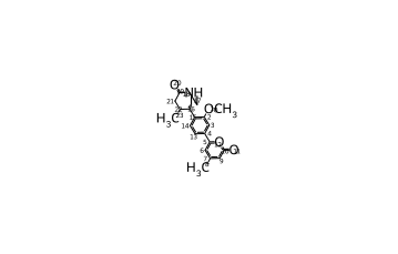 COc1cc(-c2cc(C)cc(=O)o2)ccc1C1=NNC(=O)CC1C